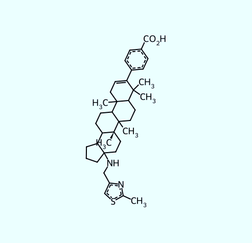 Cc1nc(CNC23CCCC2C2CCC4C5(C)CC=C(c6ccc(C(=O)O)cc6)C(C)(C)C5CCC4(C)[C@]2(C)CC3)cs1